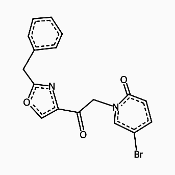 O=C(Cn1cc(Br)ccc1=O)c1coc(Cc2ccccc2)n1